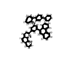 c1ccc(-c2ccc3c4ccccc4n(-c4cc(-c5ccc6ccc7cccnc7c6n5)cc(-c5cc6ccccc6c6ccccc56)c4)c3c2)cc1